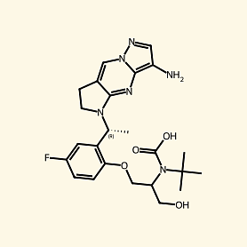 C[C@H](c1cc(F)ccc1OCC(CO)N(C(=O)O)C(C)(C)C)N1CCc2cn3ncc(N)c3nc21